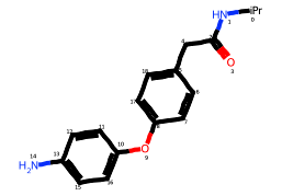 CC(C)NC(=O)Cc1ccc(Oc2ccc(N)cc2)cc1